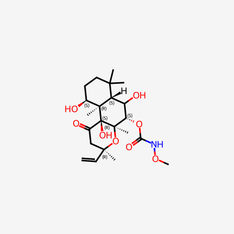 C=C[C@@]1(C)CC(=O)[C@]2(O)[C@@]3(C)[C@@H](O)CCC(C)(C)[C@@H]3C(O)[C@H](OC(=O)NOC)[C@@]2(C)O1